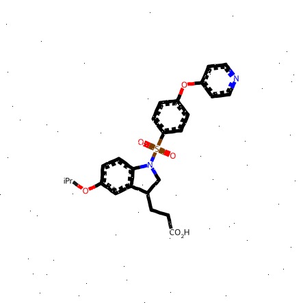 CC(C)Oc1ccc2c(c1)C(CCC(=O)O)CN2S(=O)(=O)c1ccc(Oc2ccncc2)cc1